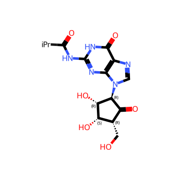 CC(C)C(=O)Nc1nc2c(ncn2[C@H]2C(=O)[C@H](CO)[C@H](O)[C@@H]2O)c(=O)[nH]1